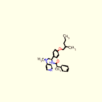 CCCC(C)COc1ccc([C@H](CN(C)c2ccncc2)NC(=O)[C@@H](C)c2ccccc2)cc1